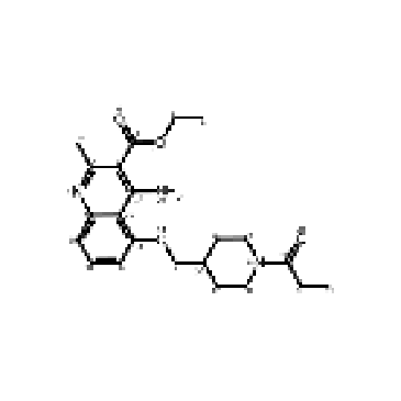 CCOC(=O)c1c(C)nc2cccc(OCC3CCN(C(=O)CC)CC3)c2c1N